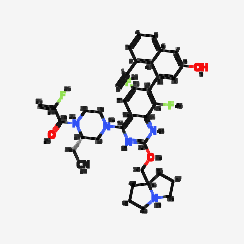 C#Cc1cccc2cc(O)cc(-c3c(F)cc4c(N5CCN(C(=O)C(=C)F)[C@@H](CC#N)C5)nc(OCC56CCCN5CCC6)nc4c3F)c12